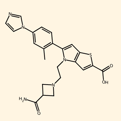 Cc1cc(-n2ccnc2)ccc1-c1cc2sc(C(=O)O)cc2n1CCN1CC(C(N)=O)C1